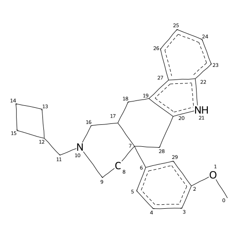 COc1cccc(C23CCN(CC4CCC4)CC2Cc2c([nH]c4ccccc24)C3)c1